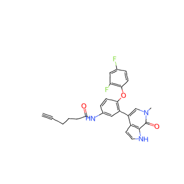 C#CCCCC(=O)Nc1ccc(Oc2ccc(F)cc2F)c(-c2cn(C)c(=O)c3[nH]ccc23)c1